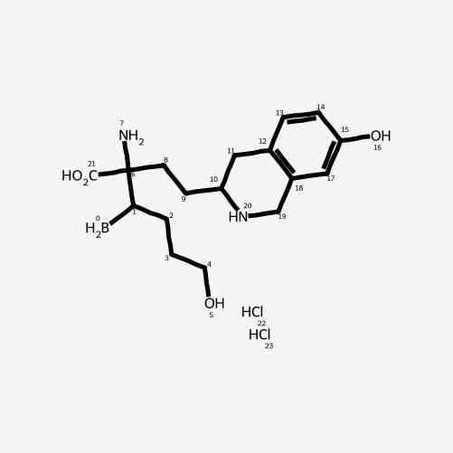 BC(CCCO)C(N)(CCC1Cc2ccc(O)cc2CN1)C(=O)O.Cl.Cl